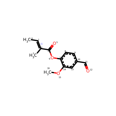 C/C=C(\C)C(=O)Oc1ccc(C=O)cc1OC